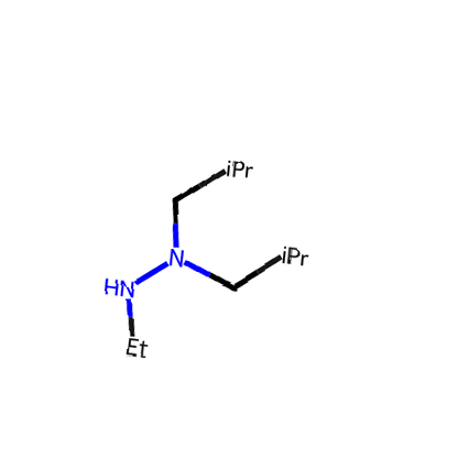 CCNN(CC(C)C)CC(C)C